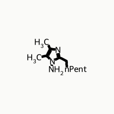 CCCCCCc1nc(C)c(C)n1N